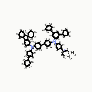 C=C/C(=C\C)c1ccc(N(c2ccc(-c3ccc(N(c4ccc(-c5ccccc5)cc4)c4ccc5c(c4)C4(CCCCC4)c4ccccc4-5)cc3)cc2)c2cc(-c3ccccc3)cc(-c3ccccc3)c2)cc1